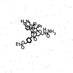 CCC(=O)OCc1ccc(NC(=O)C(CCCNC(N)=O)NC(=O)C(NC(=O)C(CN)N2C(=O)C=CC2=O)C(C)C)cc1